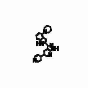 c1cc(N2CCCCC2)c2cc(-c3n[nH]c4ncc(-c5ccncc5)cc34)[nH]c2c1